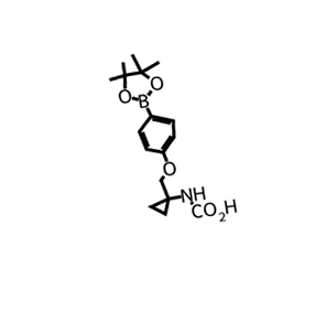 CC1(C)OB(c2ccc(OCC3(NC(=O)O)CC3)cc2)OC1(C)C